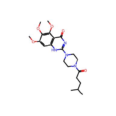 COc1cc2[nH]c(N3CCN(C(=O)CCC(C)C)CC3)nc(=O)c2c(OC)c1OC